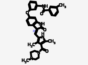 Cc1cccc(C(=O)Nc2cccc(Oc3ccc4c(c3)NC(=O)/C4=C\c3[nH]c(C)c(C(=O)N4CCN(C)CC4)c3C)c2)c1